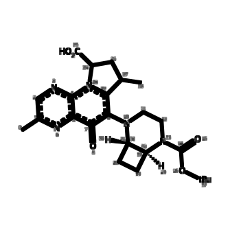 Cc1cnc2c(n1)c(=O)c(N1CCN(C(=O)OC(C)(C)C)[C@H]3CC[C@@H]31)c1n2C(C(=O)O)CC1C